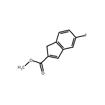 COC(=O)C1=Cc2cc(F)ccc2C1